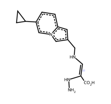 NN/C(=C\NCc1cc2ccc(C3CC3)cn2c1)C(=O)O